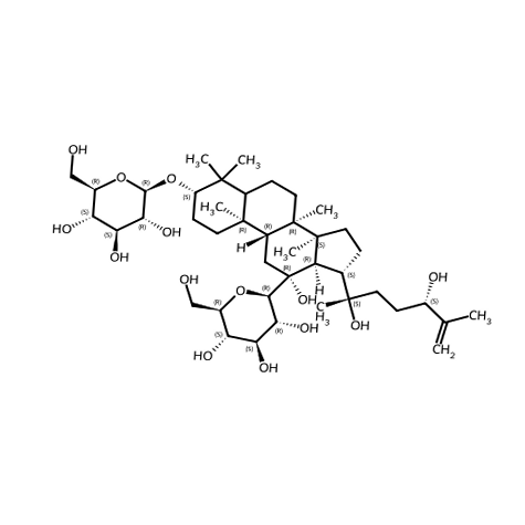 C=C(C)[C@@H](O)CC[C@](C)(O)[C@H]1CC[C@@]2(C)[C@@H]1[C@@](O)([C@@H]1O[C@H](CO)[C@@H](O)[C@H](O)[C@H]1O)C[C@@H]1[C@@]3(C)CC[C@H](O[C@@H]4O[C@H](CO)[C@@H](O)[C@H](O)[C@H]4O)C(C)(C)C3CC[C@]12C